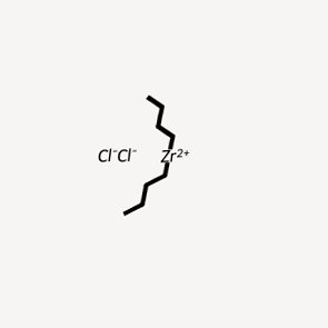 CCC[CH2][Zr+2][CH2]CCC.[Cl-].[Cl-]